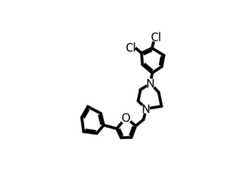 Clc1ccc(N2CCN(Cc3ccc(-c4ccccc4)o3)CC2)cc1Cl